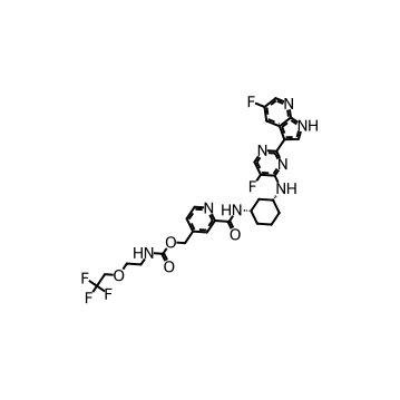 O=C(NCCOCC(F)(F)F)OCc1ccnc(C(=O)N[C@H]2CCC[C@@H](Nc3nc(-c4c[nH]c5ncc(F)cc45)ncc3F)C2)c1